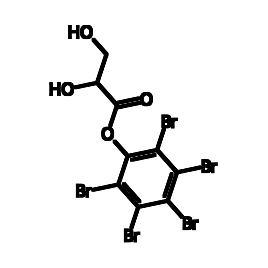 O=C(Oc1c(Br)c(Br)c(Br)c(Br)c1Br)C(O)CO